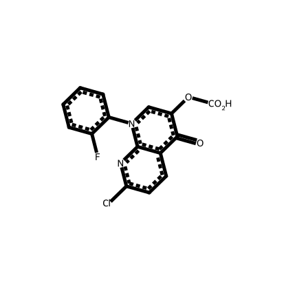 O=C(O)Oc1cn(-c2ccccc2F)c2nc(Cl)ccc2c1=O